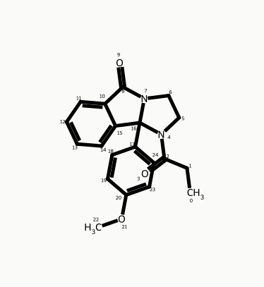 CCC(=O)N1CCN2C(=O)c3ccccc3C12c1ccc(OC)cc1